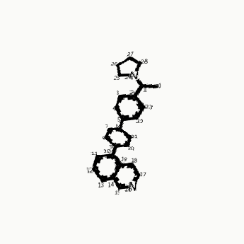 CC(c1ccc(-c2ccc(-c3cccc4cnccc34)cc2)cc1)N1CCCC1